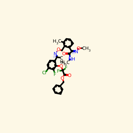 CNC(=O)/C(=N/OC)c1cccc(C)c1CO/N=C(\C)c1ccc(Cl)c(F)c1OC(F)(F)C(=O)OCc1ccccc1